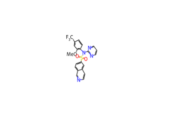 COc1cc(C(F)(F)F)ccc1N(c1ncccn1)S(=O)(=O)c1ccc2cnccc2c1